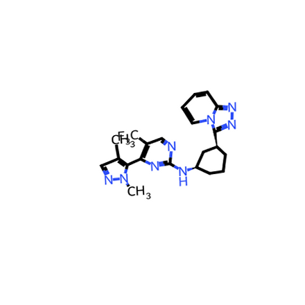 Cc1cnn(C)c1-c1nc(N[C@@H]2CCC[C@H](c3nnc4ccccn34)C2)ncc1C(F)(F)F